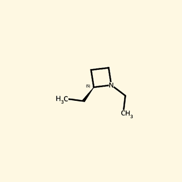 CC[C@H]1CCN1CC